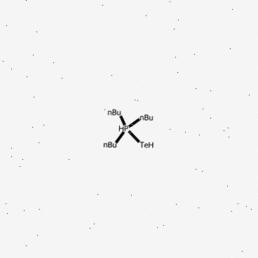 CCCC[PH]([TeH])(CCCC)CCCC